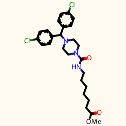 COC(=O)CCCCCCNC(=O)N1CCN(C(c2ccc(Cl)cc2)c2ccc(Cl)cc2)CC1